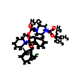 CC1CN(C(=O)OC(C)(C)C)CCN1C(=O)OC[C@H]1CCC[C@@H](c2cccc(F)c2)N1S(=O)(=O)c1ccccc1